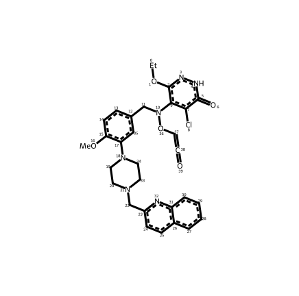 CCOc1n[nH]c(=O)c(Cl)c1N(Cc1ccc(OC)c(N2CCN(Cc3ccc4ccccc4n3)CC2)c1)OC=C=O